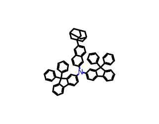 c1ccc(C2(c3ccccc3)c3ccccc3-c3ccc(N(c4ccc5c(c4)C(c4ccccc4)(c4ccccc4)c4ccccc4-5)c4ccc5cc(C67CC8CC(CC(C8)C6)C7)ccc5c4)cc32)cc1